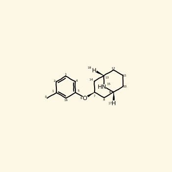 Cc1cccc(O[C@@H]2C[C@H]3CCC[C@@H](C2)N3)c1